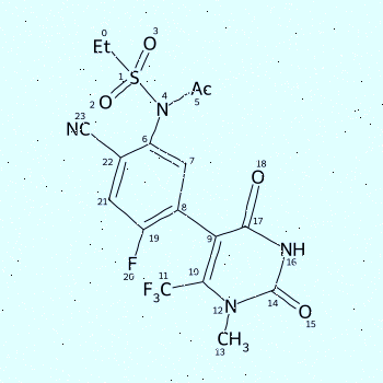 CCS(=O)(=O)N(C(C)=O)c1cc(-c2c(C(F)(F)F)n(C)c(=O)[nH]c2=O)c(F)cc1C#N